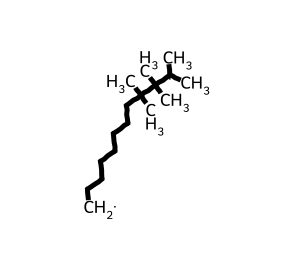 [CH2]CCCCCCCC(C)(C)C(C)(C)[C](C)C